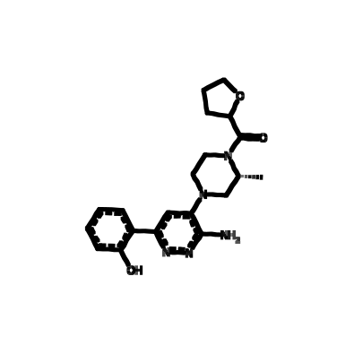 C[C@@H]1CN(c2cc(-c3ccccc3O)nnc2N)CCN1C(=O)C1CCCO1